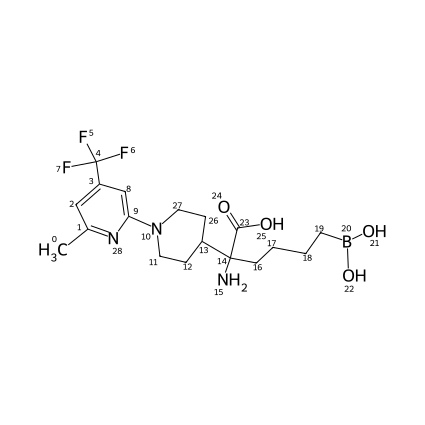 Cc1cc(C(F)(F)F)cc(N2CCC(C(N)(CCCCB(O)O)C(=O)O)CC2)n1